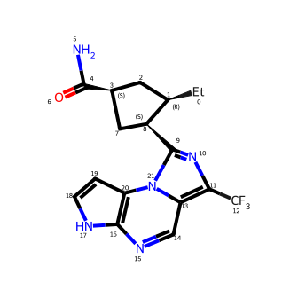 CC[C@@H]1C[C@H](C(N)=O)C[C@@H]1c1nc(C(F)(F)F)c2cnc3[nH]ccc3n12